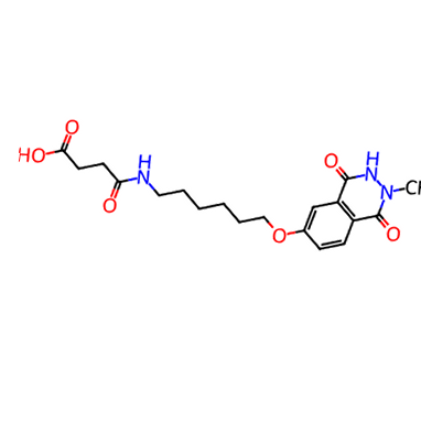 Cn1[nH]c(=O)c2cc(OCCCCCCNC(=O)CCC(=O)O)ccc2c1=O